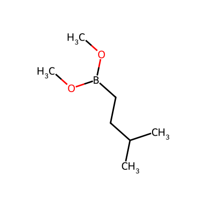 COB(CCC(C)C)OC